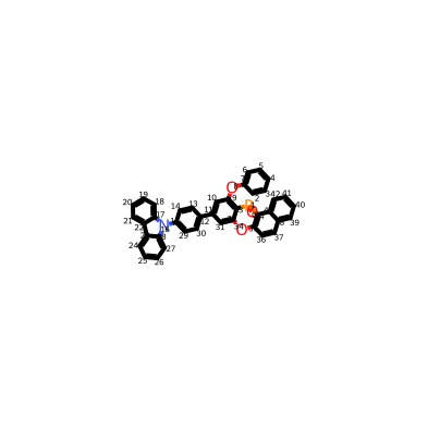 O=[P@]12c3ccccc3Oc3cc(-c4ccc(-n5c6ccccc6c6ccccc65)cc4)cc(c31)Oc1ccc3ccccc3c12